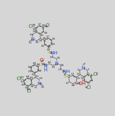 CN1Cc2c(Cl)cc(Cl)cc2C(C2=CC(SNCCN(CCNSc3cccc(C4CN(C)Cc5c(Cl)cc(Cl)cc54)c3)CCN[S+]([O-])c3cccc(C4CN(C)Cc5c(Cl)cc(Cl)cc54)c3)CC[C@H]2O)C1